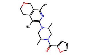 CC(C)c1nc(N2CC(C)N(C(=O)c3ccco3)CC2C)c(C#N)c2c1COCC2